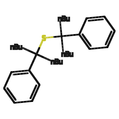 CCCCC(CCCC)(SC(CCCC)(CCCC)c1ccccc1)c1ccccc1